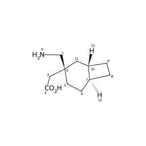 NC[C@]1(CC(=O)O)CC[C@@H]2CC[C@H]2C1